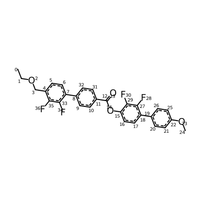 CCOCc1ccc(-c2ccc(C(=O)Oc3ccc(-c4ccc(OC)cc4)c(F)c3F)cc2)c(F)c1F